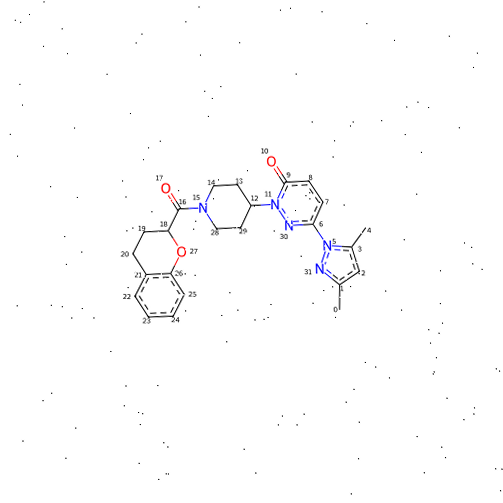 Cc1cc(C)n(-c2ccc(=O)n(C3CCN(C(=O)C4CCc5ccccc5O4)CC3)n2)n1